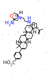 C=C(C)[C@@H]1CC[C@]2(NCCN3C[C@]4(N)C[C@H]3CO4)CC[C@]3(C)[C@H](CC[C@@H]4[C@@]5(C)CC=C(c6ccc(C(=O)O)cc6)C(C)(C)[C@@H]5CC[C@]43C)[C@@H]12